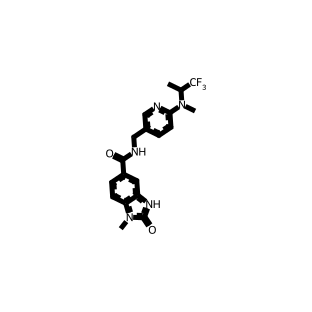 CC(N(C)c1ccc(CNC(=O)c2ccc3c(c2)[nH]c(=O)n3C)cn1)C(F)(F)F